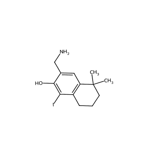 CC1(C)CCCc2c1cc(CN)c(O)c2I